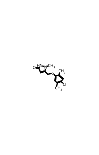 Cc1cc(SCc2cc(=O)[nH]n2C)c(C)cc1Cl